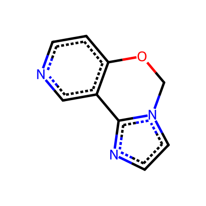 c1cc2c(cn1)-c1nccn1CO2